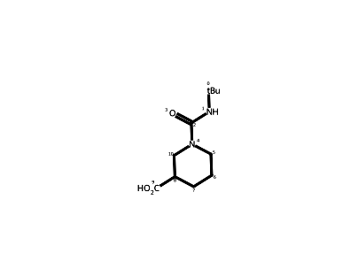 CC(C)(C)NC(=O)N1CCCC(C(=O)O)C1